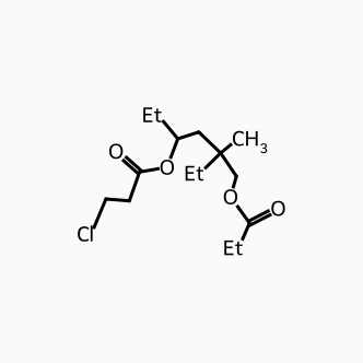 CCC(=O)OCC(C)(CC)CC(CC)OC(=O)CCCl